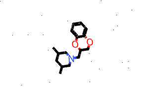 CC1CC(C)CN(CC2COc3ccccc3O2)C1